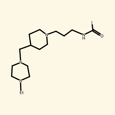 CCN1CCN(CC2CCN(CCCNC(=O)I)CC2)CC1